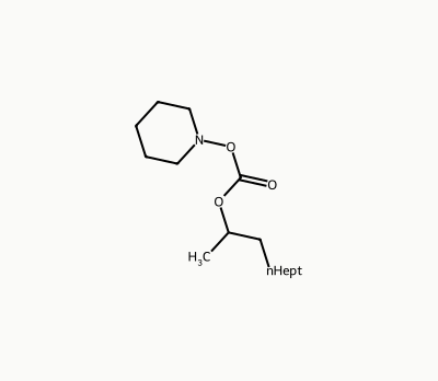 CCCCCCCCC(C)OC(=O)ON1CCCCC1